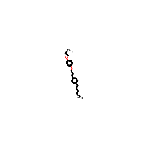 CCCCCC1CCC(C=CCOc2ccc(OCCC)cc2)CC1